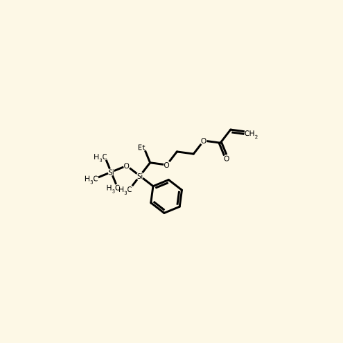 C=CC(=O)OCCOC(CC)[Si](C)(O[Si](C)(C)C)c1ccccc1